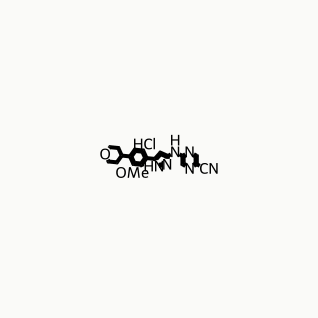 COc1cc(C2CCOCC2)ccc1-c1cc(Nc2cnc(C#N)cn2)n[nH]1.Cl